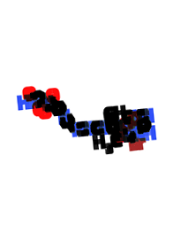 CCc1cc(Nc2ncc(Br)c(Nc3ccc4nccnc4c3NS(C)(=O)=O)n2)c(OC)cc1N1CCC(N2CCN(CC3CCN(c4ccc5c(c4)C(=O)N(C4CCC(=O)NC4=O)C5=O)CC3)CC2)CC1